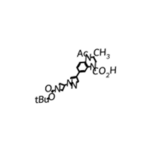 CC(=O)N1c2ccc(-c3cnn(C4CN(C(=O)OC(C)(C)C)C4)c3)cc2N(C(=O)O)CC1C